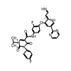 CC(C)n1cc(C(=O)Nc2ccc(OC3=CC(c4ncccn4)=CN/C3=C\C=N)c(F)c2)c(=O)n(-c2ccc(F)cc2)c1=O